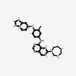 Cc1cc(Nc2ncnc3cnc(N4CCCCOC4)nc23)ccc1Oc1ccn2ncnc2c1